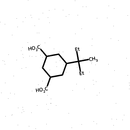 CCC(C)(CC)C1CC(C(=O)O)CC(C(=O)O)C1